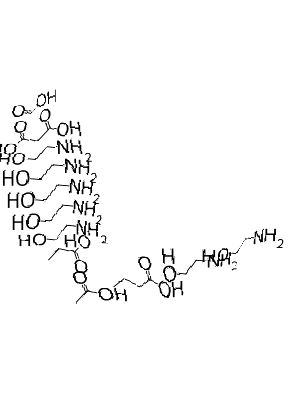 CC(=O)O.CCC(=O)O.CCCC(=O)O.NCCO.NCCO.NCCO.NCCO.NCCO.NCCO.NCCO.O=C(O)CC(=O)O.O=CO